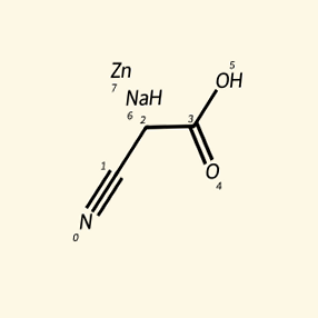 N#CCC(=O)O.[NaH].[Zn]